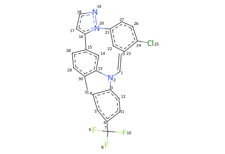 C=CN(c1ccc(C(F)(F)F)cc1)c1cc(-c2ccnn2-c2ccc(Cl)cc2)ccc1C